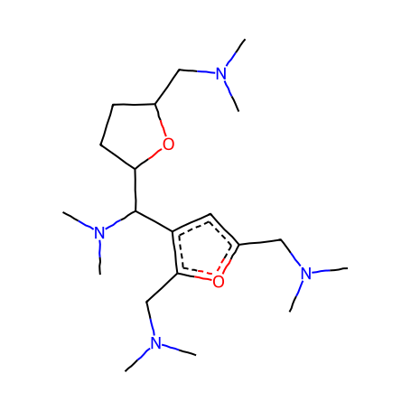 CN(C)Cc1cc(C(C2CCC(CN(C)C)O2)N(C)C)c(CN(C)C)o1